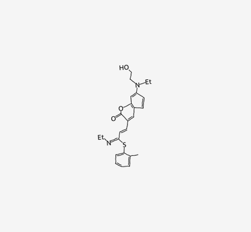 CC/N=C(\C=C\c1cc2ccc(N(CC)CCO)cc2oc1=O)Sc1ccccc1C